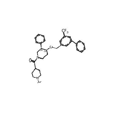 CC(=O)N1CCC(C(=O)N2CC[C@H](OCc3cc(-c4ccccc4)cc(C(F)(F)F)c3)[C@H](c3ccccc3)C2)CC1